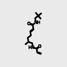 C=CC(=O)NCC(C)CC/C=C/C(=O)NCC(C)(C)C